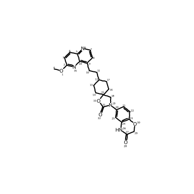 COc1ccc2nccc(CCC3CCC4(CC3)CN(c3ccc5c(c3)NC(=O)CO5)C(=O)O4)c2n1